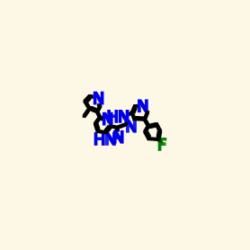 Cc1ccncc1-c1ccc2[nH]nc(-c3nc4c(-c5ccc(F)cc5)cncc4[nH]3)c2n1